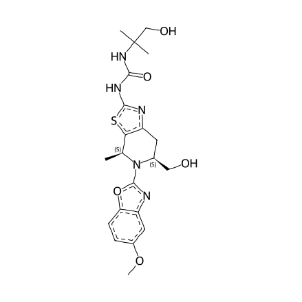 COc1ccc2oc(N3[C@H](CO)Cc4nc(NC(=O)NC(C)(C)CO)sc4[C@@H]3C)nc2c1